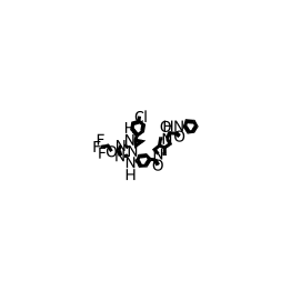 O=C(Nc1ccccc1)C(=O)N1CC2CN(C(=O)c3ccc(Nc4nc(NC5(c6ccc(Cl)cc6)CC5)nc(OCC(F)(F)F)n4)cc3)CC2C1